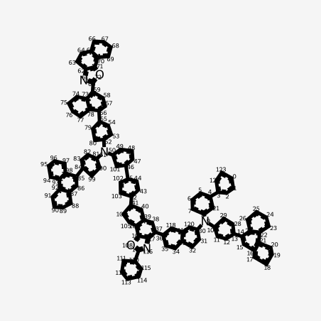 c1ccc(-c2cccc(N(c3ccc(-c4cc5ccccc5c5ccccc45)cc3)c3ccc4ccc(-c5cc6cc(-c7ccc(-c8cccc(N(c9ccc(-c%10ccc(-c%11nc%12ccc%13ccccc%13c%12o%11)c%11ccccc%10%11)cc9)c9ccc(-c%10cc%11ccccc%11c%11ccccc%10%11)cc9)c8)cc7)ccc6c6oc(-c7ccccc7)nc56)cc4c3)c2)cc1